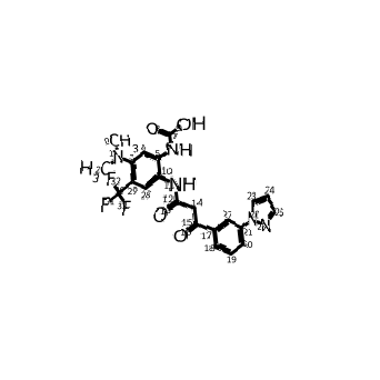 CN(C)c1cc(NC(=O)O)c(NC(=O)CC(=O)c2cccc(-n3cccn3)c2)cc1C(F)(F)F